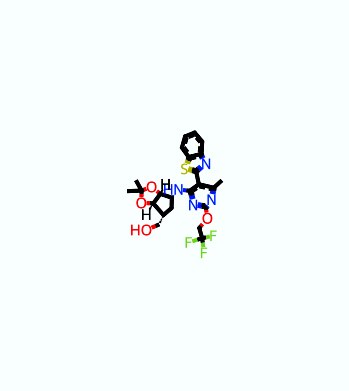 Cc1nc(OCC(F)(F)F)nc(N[C@@H]2C[C@H](CO)[C@H]3OC(C)(C)O[C@H]32)c1-c1nc2ccccc2s1